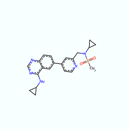 CS(=O)(=O)N(Cc1cc(-c2ccc3ncnc(NC4CC4)c3c2)ccn1)C1CC1